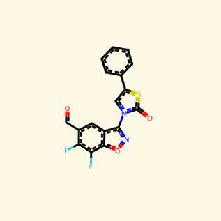 O=Cc1cc2c(-n3cc(-c4ccccc4)sc3=O)noc2c(F)c1F